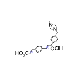 CN1CCN(Cc2ccc(C(=O)/C=C/c3ccc(/C=C/C(=O)O)cc3)cc2)CC1.Cl